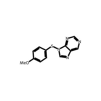 COc1ccc(Sn2cnc3cncnc32)cc1